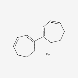 C1=CCCCC(C2=CC=CCCC2)=C1.[Fe]